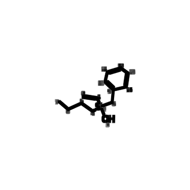 C=C[Si](O)(CCCC)Cc1ccccc1